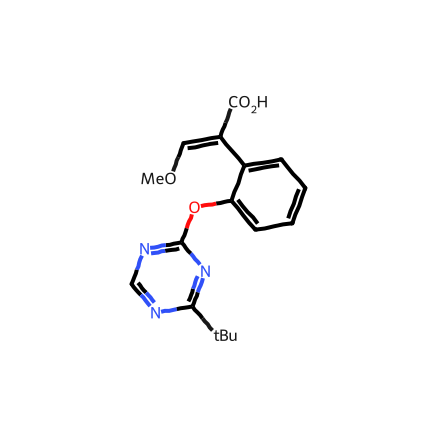 CO/C=C(/C(=O)O)c1ccccc1Oc1ncnc(C(C)(C)C)n1